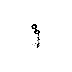 CC1(COCCOc2ccc(-c3ccccc3)cc2)CO1